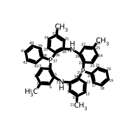 Cc1ccc2c(c1)Nc1cc(C)ccc1P(c1ccccc1)c1ccc(C)cc1Nc1cc(C)ccc1P2c1ccccc1